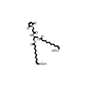 CCCCCCCC/C=C\CCCCCCCC(=O)OCC(COC(=O)CCCCCCC/C=C\CCCCCCCC)NC(=O)CCN1C(=O)C=CC1=O